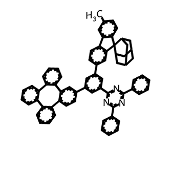 Cc1ccc2c(c1)-c1ccc(-c3cc(-c4ccc5c(c4)-c4ccccc4-c4ccccc4-c4ccccc4-5)cc(-c4nc(-c5ccccc5)nc(-c5ccccc5)n4)c3)cc1C21C2CC3CC(C2)CC1C3